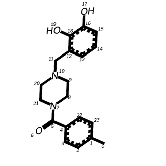 Cc1ccc(C(=O)N2CCN(Cc3cccc(O)c3O)CC2)cc1